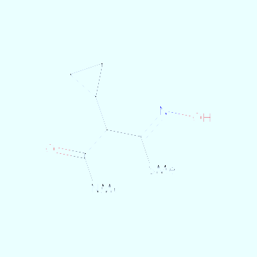 CNC(=O)C(C(=NO)SC)C1CC1